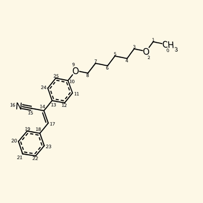 CCOCCCCCCOc1ccc(/C(C#N)=C/c2ccccc2)cc1